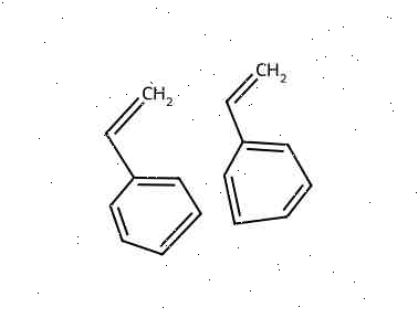 C=Cc1ccccc1.C=Cc1ccccc1